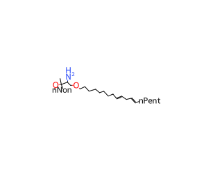 CCCCCC=CCC=CCCCCCCCCOCC(N)C(C)(C)OCCCCCCCCC